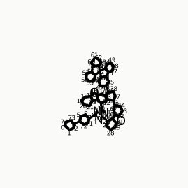 c1ccc(-c2ccc(-c3nc(-c4cccc5oc6ccccc6c45)nc(-c4cccc5oc6ccc(-c7ccc(-c8ccc9c(c8)-c8ccccc8C98c9ccccc9-c9ccccc98)cc7)cc6c45)n3)cc2)cc1